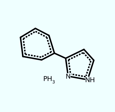 P.c1ccc(-c2cc[nH]n2)cc1